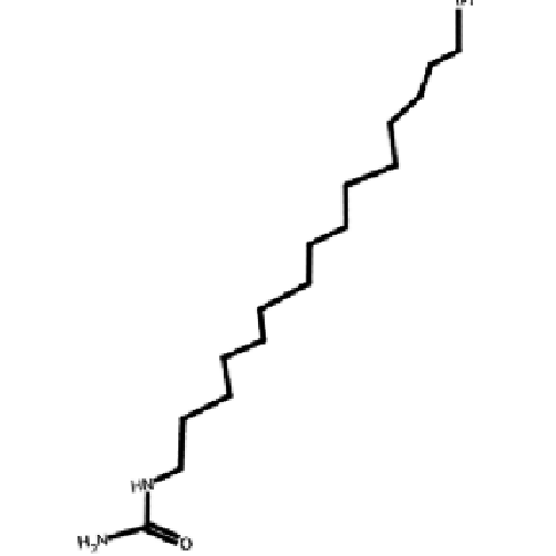 CC(C)CCCCCCCCCCCCCCCNC(N)=O